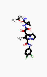 C=C(C)OC(=N)C1(NC(=O)C(=O)c2c(C)c(C(=O)Nc3ccc(F)c(Cl)c3)n3c2CCC3)CC1